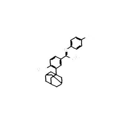 CN/C(=N\c1ccc(C(=O)O)cc1)c1ccc(OC)c(C23CC4CC(CC(C4)C2)C3)c1